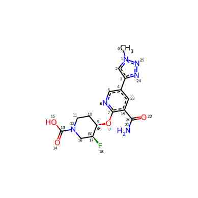 Cn1cc(-c2cnc(O[C@@H]3CCN(C(=O)O)C[C@@H]3F)c(C(N)=O)c2)nn1